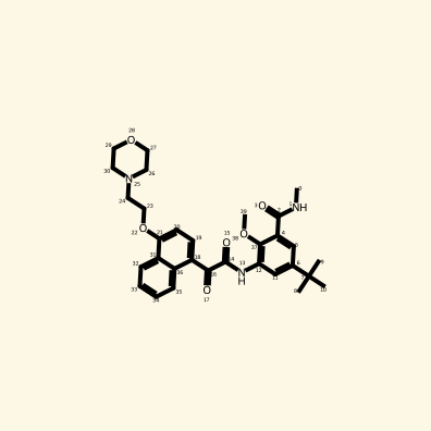 CNC(=O)c1cc(C(C)(C)C)cc(NC(=O)C(=O)c2ccc(OCCN3CCOCC3)c3ccccc23)c1OC